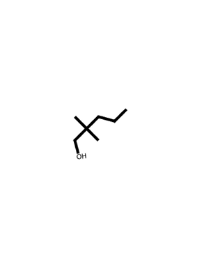 C[CH]CC(C)(C)CO